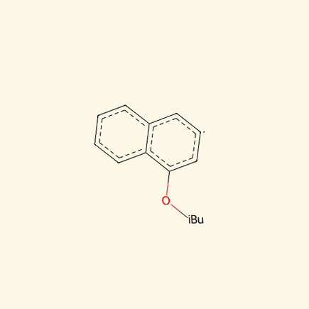 CCC(C)Oc1c[c]cc2ccccc12